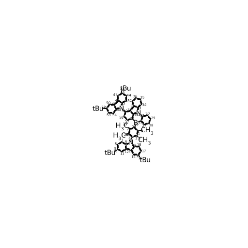 Cc1c(C)c(-n2c3ccc(C(C)(C)C)cc3c3cc(C(C)(C)C)ccc32)c(C)c(C)c1B1c2ccccc2-n2c3ccccc3c3c(-n4c5ccc(C(C)(C)C)cc5c5cc(C(C)(C)C)ccc54)ccc1c32